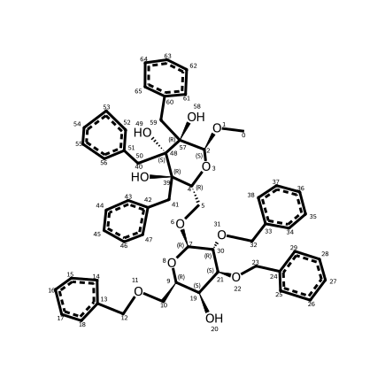 CO[C@H]1O[C@H](CO[C@@H]2O[C@H](COCc3ccccc3)[C@H](O)[C@H](OCc3ccccc3)[C@H]2OCc2ccccc2)[C@](O)(Cc2ccccc2)[C@@](O)(Cc2ccccc2)[C@]1(O)Cc1ccccc1